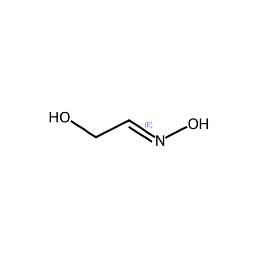 OC/C=N/O